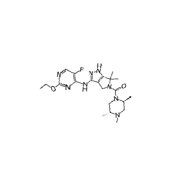 CCOc1ncc(F)c(Nc2n[nH]c3c2CN(C(=O)N2C[C@@H](C)N(C)C[C@@H]2C)C3(C)C)n1